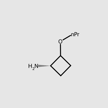 CCCOC1CC[C@@H]1N